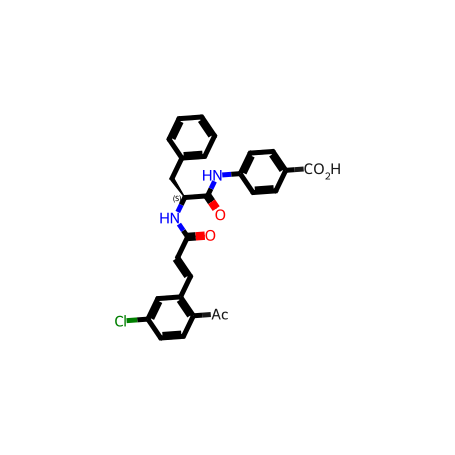 CC(=O)c1ccc(Cl)cc1C=CC(=O)N[C@@H](Cc1ccccc1)C(=O)Nc1ccc(C(=O)O)cc1